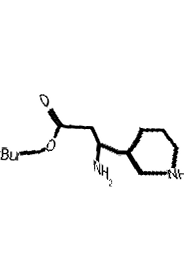 CC(C)(C)OC(=O)CC(N)C1CCCNC1